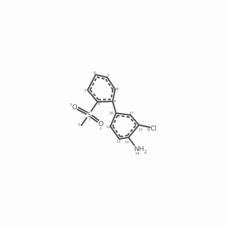 CS(=O)(=O)c1ccccc1-c1ccc(N)c(Cl)c1